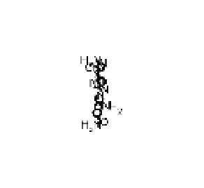 NC(=O)C1=CC2C(C=C1)CC1(CCN(c3nc4ccc(Sc5ccnc(N)c5Cl)c5ncc3n45)CC1)C2N